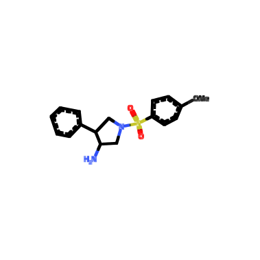 COc1ccc(S(=O)(=O)N2CC(N)C(c3ccccc3)C2)cc1